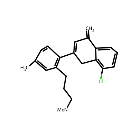 C=C1C=C(c2ccc(C)cc2CCCNC)Cc2c(Cl)cccc21